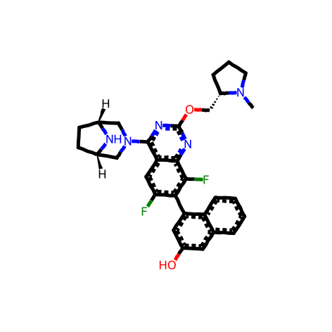 CN1CCC[C@H]1COc1nc(N2C[C@H]3CC[C@@H](C2)N3)c2cc(F)c(-c3cc(O)cc4ccccc34)c(F)c2n1